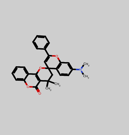 CN(C)c1ccc2c(c1)OC(c1ccccc1)=CC21CC(C)(C)c2c(c3ccccc3oc2=O)O1